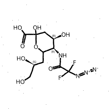 [N-]=[N+]=NC(F)(F)C(=O)N[C@H]1C(C[C@H](O)CO)OC(O)(C(=O)O)C[C@H]1O